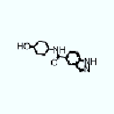 O=C(NC1CCC(O)CC1)c1ccc2[nH]ncc2c1